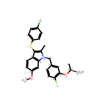 Cc1c(Sc2ccc(Cl)cc2)c2ccc(OC(F)(F)F)cc2n1Cc1ccc(F)c(O[C@@H](C)C(=O)O)c1